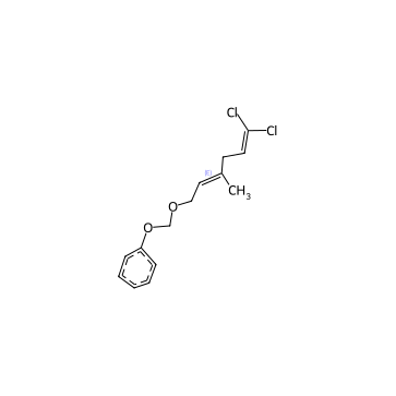 C/C(=C\COCOc1ccccc1)CC=C(Cl)Cl